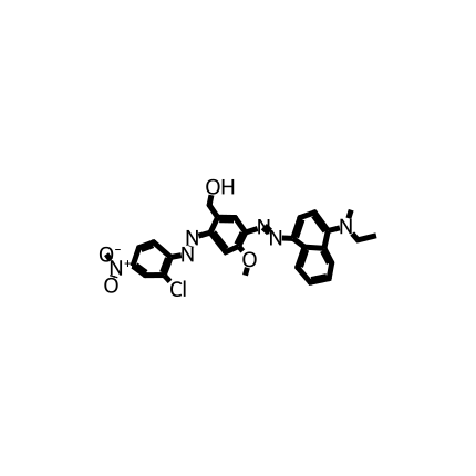 CCN(C)c1ccc(N=Nc2cc(CO)c(N=Nc3ccc([N+](=O)[O-])cc3Cl)cc2OC)c2ccccc12